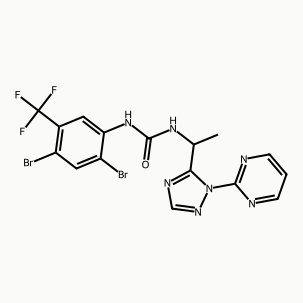 CC(NC(=O)Nc1cc(C(F)(F)F)c(Br)cc1Br)c1ncnn1-c1ncccn1